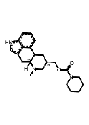 CN1C[C@H](COC(=O)N2CCCCC2)CC2c3cccc4[nH]cc(c34)C[C@H]21